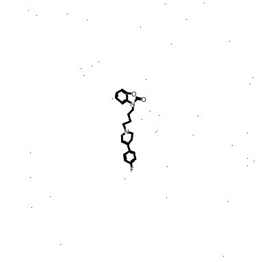 O=c1oc2ccccc2n1CCCCN1CC=C(c2ccc(F)cc2)CC1